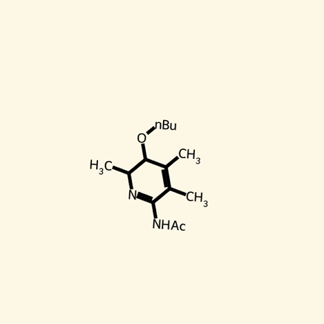 CCCCOC1C(C)=C(C)C(NC(C)=O)=NC1C